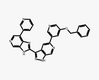 c1ccc(COc2cncc(-c3cc4c(-c5nc6c(-c7cccnc7)cncc6[nH]5)n[nH]c4cn3)c2)cc1